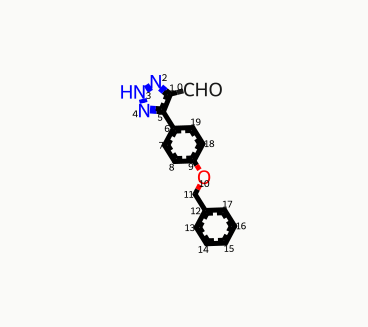 O=Cc1n[nH]nc1-c1ccc(OCc2ccccc2)cc1